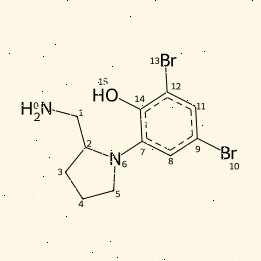 NCC1CCCN1c1cc(Br)cc(Br)c1O